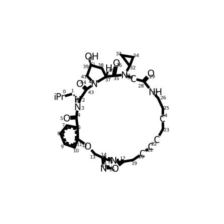 CC(C)C[C@H]1NC(=O)c2ccccc2OCc2noc(n2)CCCCCCCCNC(=O)CN(C2CC2)C(=O)[C@H]2C[C@H](O)CN2C1=O